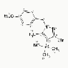 COc1ccc(Cn2nc(Br)c(C(C)(C)C#N)c2C(F)(F)F)cc1